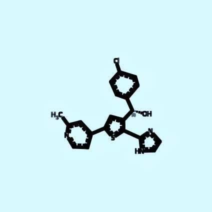 Cc1cc(-c2cc([C@@H](O)c3ccc(Cl)cc3)c(-c3ncc[nH]3)s2)ccn1